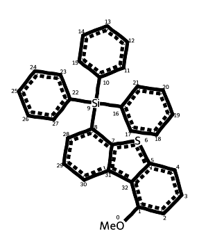 COc1cccc2sc3c([Si](c4ccccc4)(c4ccccc4)c4ccccc4)cccc3c12